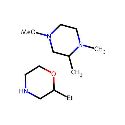 CCC1CNCCO1.CON1CCN(C)C(C)C1